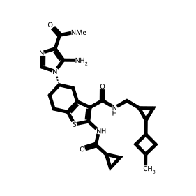 CNC(=O)c1ncn([C@H]2CCc3sc(NC(=O)C4CC4)c(C(=O)NCC4CC4C4CC(C)C4)c3C2)c1N